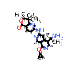 C[C@H]1OC(=O)c2ccc(Nc3cc4c(C(C)(C)N)cnc(OC5CC5)c4cn3)nc2C1(C)C